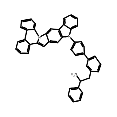 NC(Cc1cccc(-c2ccc(-n3c4ccccc4c4cc5c(cc43)cc3c4ccccc4c4ccccc4n53)cc2)c1)c1ccccc1